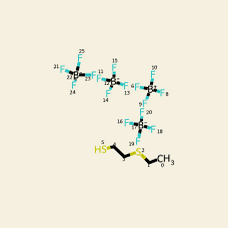 CCSCCS.F[B-](F)(F)F.F[B-](F)(F)F.F[B-](F)(F)F.F[B-](F)(F)F